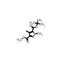 COC(=O)c1nn(C)c(C(=O)OC(C)(C)C)c1I